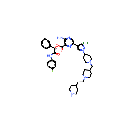 Cl.Nc1ncc(-c2cnn(C3CCN(CC4CCN(CCC5CCNCC5)CC4)CC3)c2)nc1C(=O)O[C@@H](C(=O)Nc1ccc(F)cc1)c1ccccc1